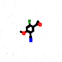 COc1cc(F)c(C2CO2)cc1C#N